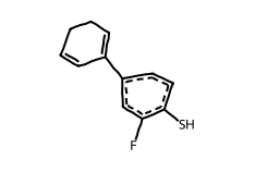 Fc1cc(C2=CCCC=C2)ccc1S